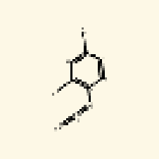 Fc1ccc(N=C=S)c(I)c1